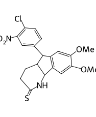 COc1cc2c(cc1OC)C(c1ccc(Cl)c([N+](=O)[O-])c1)C1CCC(=S)NC21